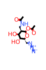 CC(=O)NC[C@H]1C(OC(C)=O)O[C@H](CN=[N+]=[N-])[C@H](O)C1O